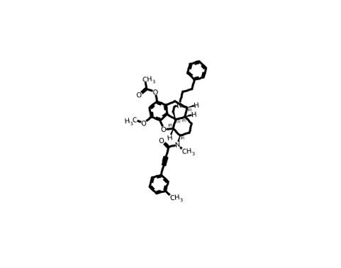 COc1cc(OC(C)=O)c2c3c1O[C@H]1[C@H](N(C)C(=O)C#Cc4cccc(C)c4)CC[C@H]4[C@@H](C2)N(CCc2ccccc2)CC[C@@]341